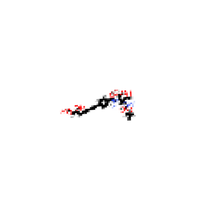 CCC(C)(NC(=O)OC(C)(C)C)C(NC(=O)c1ccc(C#CC#CC[C@@H](O)CO)cc1)C(=O)O